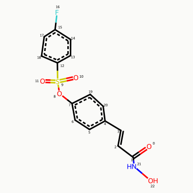 O=C(C=Cc1ccc(OS(=O)(=O)c2ccc(F)cc2)cc1)NO